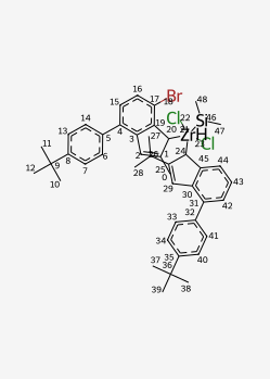 CC1=Cc2c(-c3ccc(C(C)(C)C)cc3)ccc(Br)c2[CH]1[Zr]([Cl])([Cl])([CH]1C(C(C)C)=Cc2c(-c3ccc(C(C)(C)C)cc3)cccc21)[SiH](C)C